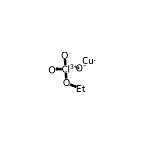 CCO[Cl+3]([O-])([O-])[O-].[Cu]